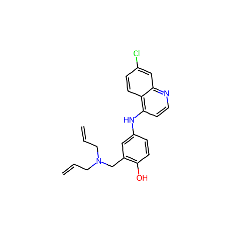 C=CCN(CC=C)Cc1cc(Nc2ccnc3cc(Cl)ccc23)ccc1O